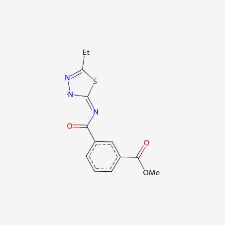 CCC1=N[N]C(=NC(=O)c2cccc(C(=O)OC)c2)S1